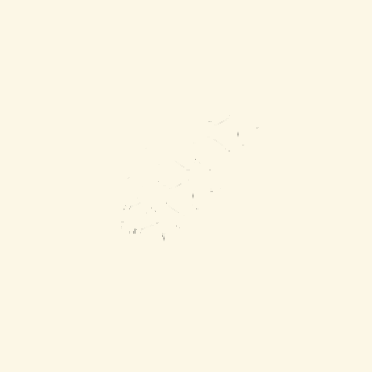 C/N=C(/C1CCOCC1)n1c(=N)c(=O)[nH]c2cc(C)c(C(=O)N3CCc4cc(Cl)ccc4C3)cc21